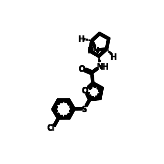 O=C(N[C@@H]1C[C@H]2CC[C@@H]1N2)c1ccc(Sc2cccc(Cl)c2)o1